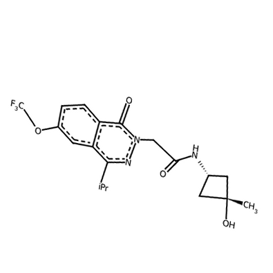 CC(C)c1nn(CC(=O)N[C@H]2C[C@@](C)(O)C2)c(=O)c2ccc(OC(F)(F)F)cc12